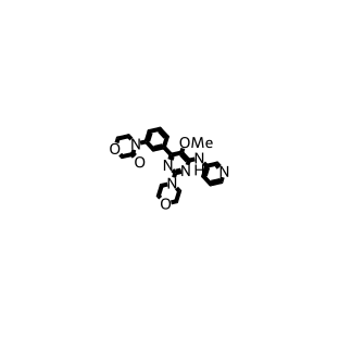 COc1c(Nc2cccnc2)nc(N2CCOCC2)nc1-c1cccc(N2CCOCC2=O)c1